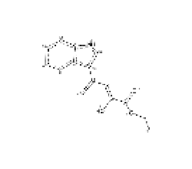 CCOC(=O)/C(O)=C/C(=O)c1c[nH]c2ccccc12